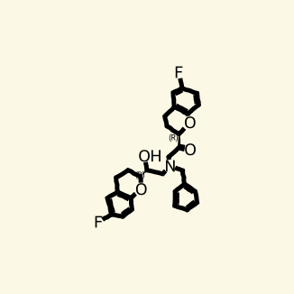 O=C(CN(Cc1ccccc1)CC(O)[C@H]1CCc2cc(F)ccc2O1)[C@H]1CCc2cc(F)ccc2O1